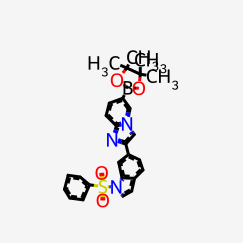 CC1(C)OB(c2ccc3nc(-c4ccc5ccn(S(=O)(=O)c6ccccc6)c5c4)cn3c2)OC1(C)C